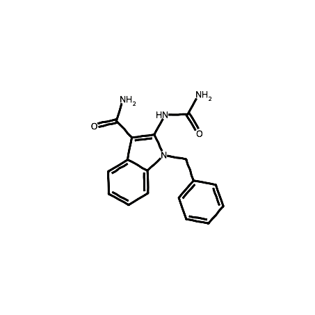 NC(=O)Nc1c(C(N)=O)c2ccccc2n1Cc1ccccc1